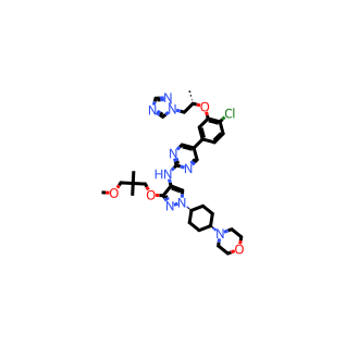 COCC(C)(C)COc1nn([C@H]2CC[C@H](N3CCOCC3)CC2)cc1Nc1ncc(-c2ccc(Cl)c(O[C@@H](C)Cn3cncn3)c2)cn1